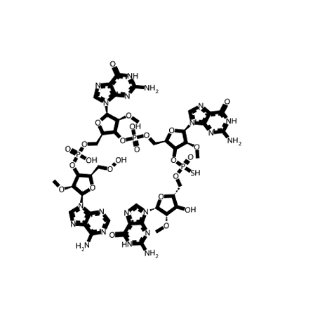 CO[C@H]1C(O)[C@@H](COP(=O)(S)OC2[C@@H](COP(=O)(O)OC3[C@@H](COP(=O)(O)OC4[C@@H](COO)O[C@@H](n5cnc6c(N)ncnc65)[C@H]4OC)O[C@@H](n4cnc5c(=O)[nH]c(N)nc54)[C@H]3OC)O[C@@H](n3cnc4c(=O)[nH]c(N)nc43)[C@H]2OC)O[C@H]1n1cnc2c(=O)[nH]c(N)nc21